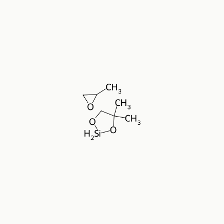 CC1(C)CO[SiH2]O1.CC1CO1